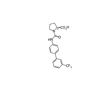 O=C(O)[C@@H]1CCCN1C(=O)Nc1ccc(-c2cccc(C(F)(F)F)c2)cc1